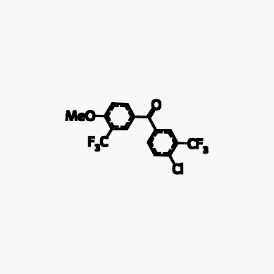 COc1ccc(C(=O)c2ccc(Cl)c(C(F)(F)F)c2)cc1C(F)(F)F